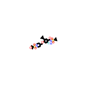 O=C(NS(=O)(=O)C1CC1)c1cc(C2CC2)c(OCC2CCN(S(=O)(=O)C3COC3)CC2)cc1F